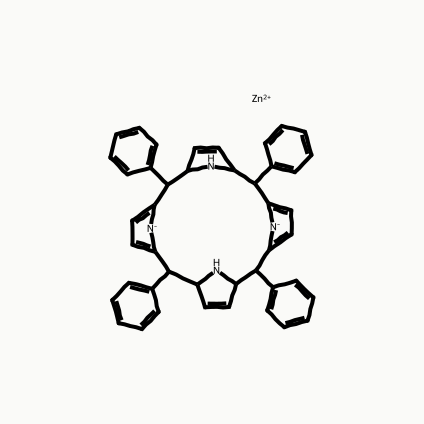 C1=CC2NC1C(c1ccccc1)c1ccc([n-]1)C(c1ccccc1)C1C=CC(N1)C(c1ccccc1)c1ccc([n-]1)C2c1ccccc1.[Zn+2]